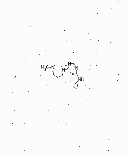 CN1CCCN(c2cc(NC3CC3)ncn2)CC1